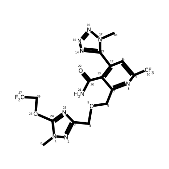 Cn1nc(COCc2nc(C(F)(F)F)cc(-c3nnnn3C)c2C(N)=O)nc1OCC(F)(F)F